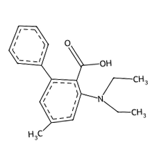 CCN(CC)c1cc(C)cc(-c2ccccc2)c1C(=O)O